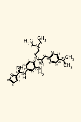 CCN(CC)CCN(c1ccc(NC(=N)c2cccs2)cc1N)C(I)Cc1ccc(C(C)C)cc1